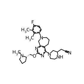 Cc1c(F)ccc(N2CCCc3c(nc(OC[C@@H]4CCCN4C)nc3N3CCNC(CC#N)C3)C2)c1C